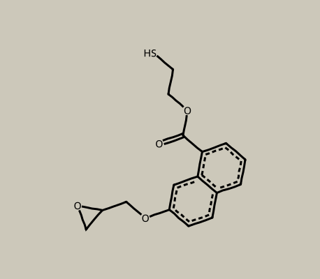 O=C(OCCS)c1cccc2ccc(OCC3CO3)cc12